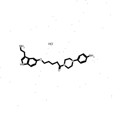 Cl.NCCc1c[nH]c2ccc(OCCCCC(=O)N3CCN(c4ccc(N)cc4)CC3)cc12